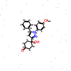 COc1ccc(-n2nc(C3(O)CCC(=O)CC3)cc2-c2ccccc2)cc1